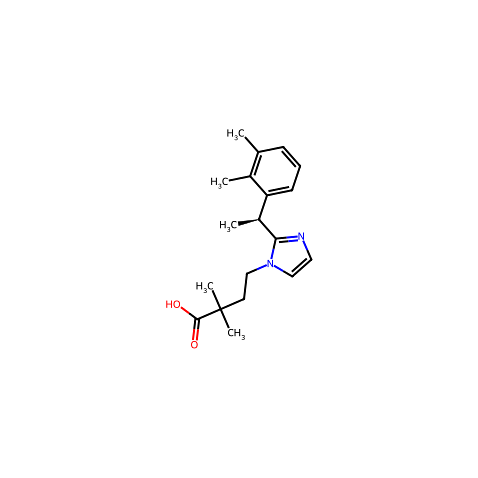 Cc1cccc([C@H](C)c2nccn2CCC(C)(C)C(=O)O)c1C